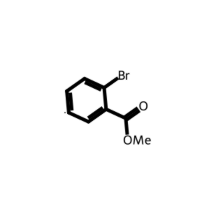 COC(=O)c1c[c]ccc1Br